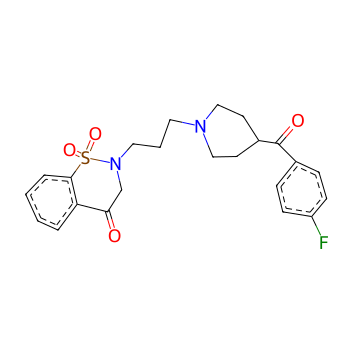 O=C1CN(CCCN2CCC(C(=O)c3ccc(F)cc3)CC2)S(=O)(=O)c2ccccc21